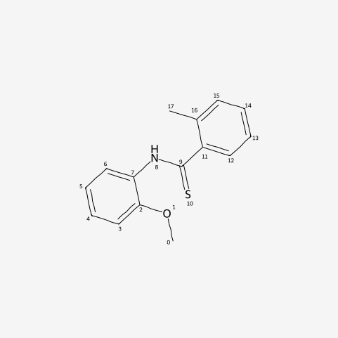 COc1ccccc1NC(=S)c1ccccc1C